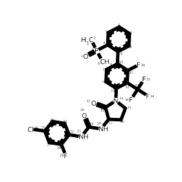 CP(C)(=O)c1ccccc1-c1ccc(N2CCC(NC(=O)Nc3ccc(Cl)cc3F)C2=O)c(C(F)(F)F)c1F